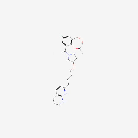 CC(C)C1COCc2cc(F)cc(C(C(=O)O)N3CCC(OCCCCc4ccc5c(n4)NCCC5)C3)c2O1